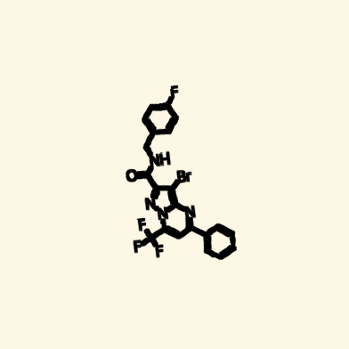 O=C(NCc1ccc(F)cc1)c1nn2c(C(F)(F)F)cc(-c3ccccc3)nc2c1Br